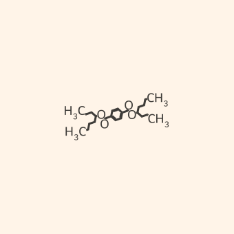 CCCCC(CCC)OC(=O)c1ccc(C(=O)OC(CCC)CCCC)cc1